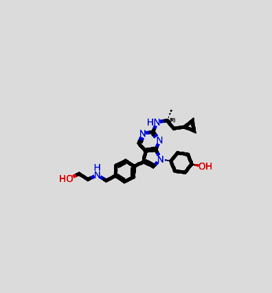 C[C@H](CC1CC1)Nc1ncc2c(-c3ccc(CNCCO)cc3)cn([C@H]3CC[C@H](O)CC3)c2n1